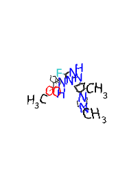 CCOC(=O)C1CCC[C@@H]1Nc1nc(Nc2ccc(N3CCN(C)CC3)c(C)c2)ncc1F